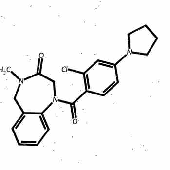 CN1Cc2ccccc2N(C(=O)c2ccc(N3CCCC3)cc2Cl)CC1=O